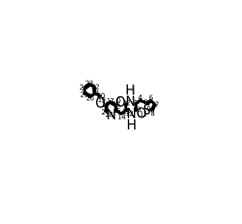 O=C1NC(Cc2cccs2)C(=O)NC1Cc1ccc(OCc2ccccc2)cn1